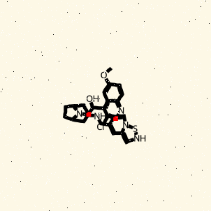 COc1ccc2ncc(Cl)c(C(O)CN3C4CCC3CC(NCC3=CC5=CNSN5C=C3)C4)c2c1